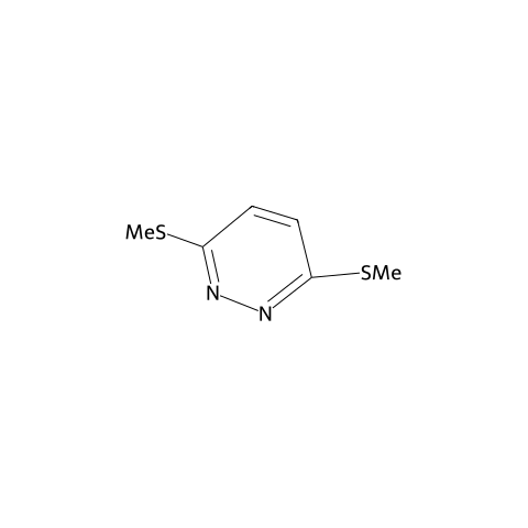 CSc1ccc(SC)nn1